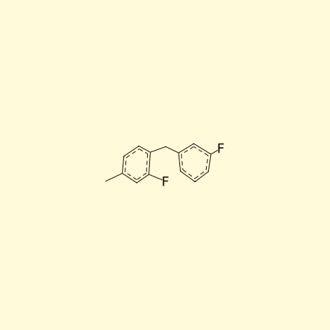 Cc1ccc(Cc2cccc(F)c2)c(F)c1